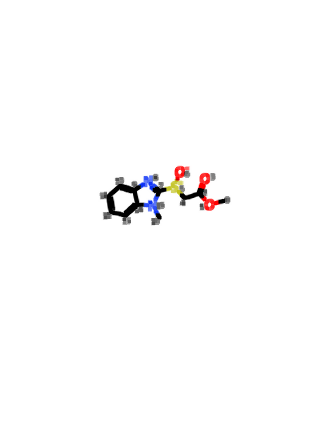 COC(=O)C[S+]([O-])c1nc2ccccc2n1C